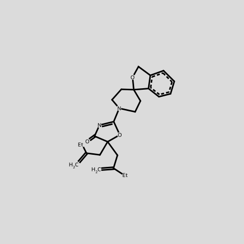 C=C(CC)CC1(CC(=C)CC)OC(N2CCC3(CC2)OCc2ccccc23)=NC1=O